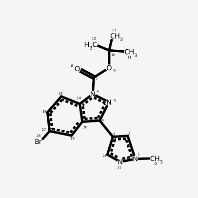 Cn1cc(-c2nn(C(=O)OC(C)(C)C)c3ccc(Br)cc23)cn1